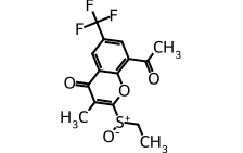 CC[S+]([O-])c1oc2c(C(C)=O)cc(C(F)(F)F)cc2c(=O)c1C